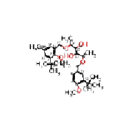 COc1ccc(COC(C)C(O)C(O)C(C)OCc2cc(C)cc(C(C)(C)C)c2OC)cc1C(C)(C)C